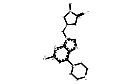 CN1C[C@H](Cn2cnc3c(N4CCOCC4)cc(Cl)nc32)CC1=O